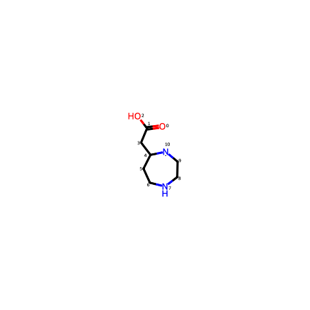 O=C(O)CC1CCNCC[N]1